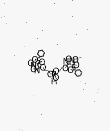 O=[PH](OCCOc1no[n+]([O-])c1S(=O)(=O)c1ccccc1)OCCOc1no[n+]([O-])c1S(=O)(=O)c1ccccc1